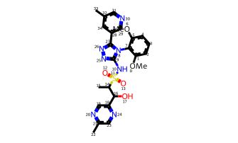 COc1cccc(OC)c1-n1c(NS(=O)(=O)C(C)C(O)c2cnc(C)cn2)nnc1-c1cncc(C)c1